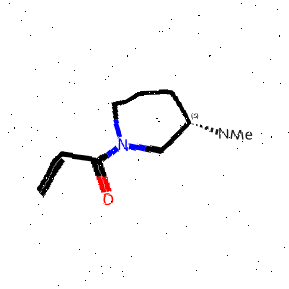 C=CC(=O)N1CCC[C@H](NC)C1